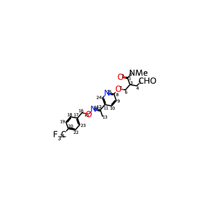 CNC(=O)C(CC=O)COc1ccc(/C(C)=N/OCc2ccc(C(F)(F)F)cc2)cn1